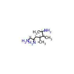 CC(N)C(C)C(C)CC(N)CN